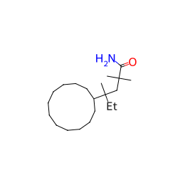 CCC(C)(CC(C)(C)C(N)=O)C1CCCCCCCCCCC1